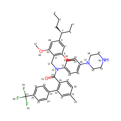 CCC[C@@H](CC)c1cc(OC)c(CN(C(=O)c2ccc(C)cc2-c2ccc(C(F)(F)F)cc2)c2ccc(N3CCNCC3)cc2)c(OC)c1